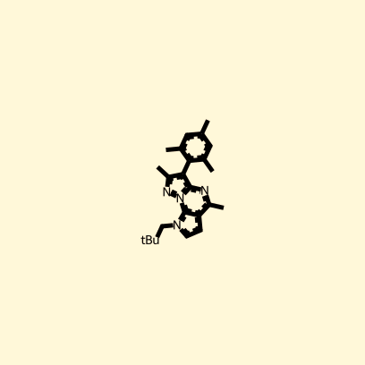 Cc1cc(C)c(-c2c(C)nn3c2nc(C)c2ccn(CC(C)(C)C)c23)c(C)c1